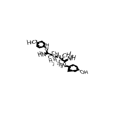 CC(C)(N=NC(C)(C)C(=N)Nc1ccc(O)cc1)C(=N)Nc1ccc(O)cc1